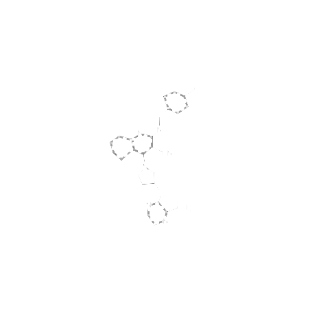 Cc1nccnc1OC1CCN(c2c(C#N)c(NCc3ccc(Cl)cc3)nc3ccccc23)C1